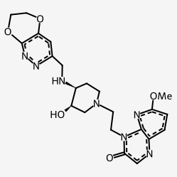 COc1ccc2ncc(=O)n(CCN3CC[C@H](NCc4cc5c(nn4)OCCO5)[C@H](O)C3)c2n1